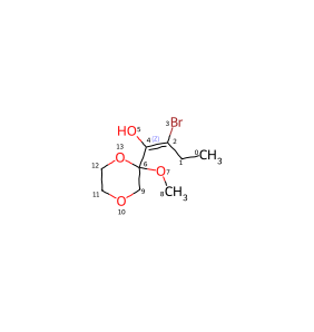 CC/C(Br)=C(/O)C1(OC)COCCO1